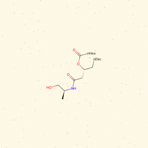 [CH2][C@@H](CO)NC(=O)C[C@@H](CCCCCCCCCCC)OC(=O)CCCCCC